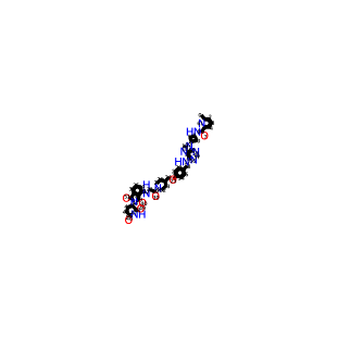 Cc1cccc(C(=O)NC2CC(n3cnc4c(NCc5ccc(OCC6CCN(C(=O)CNc7cccc8c7C(=O)N([C@H]7CCC(=O)NC7=O)C8=O)CC6)cc5)ncnc43)C2)n1